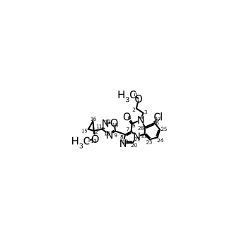 COCCn1c(=O)c2c(-c3nc(C4(OC)CC4)no3)ncn2c2cccc(Cl)c21